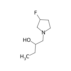 CCC(O)CN1CCC(F)C1